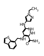 CCn1cc(NC2=CC(NCc3cccc4ccsc34)=C(C(N)=O)NN2)cn1